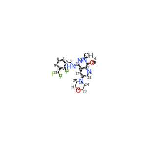 Cn1nc(NCc2cccc(C(F)F)c2F)c2cc(N3CCOCC3)cnc2c1=O